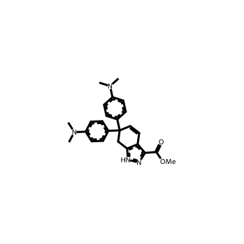 COC(=O)c1n[nH]c2c1C=CC(c1ccc(N(C)C)cc1)(c1ccc(N(C)C)cc1)C2